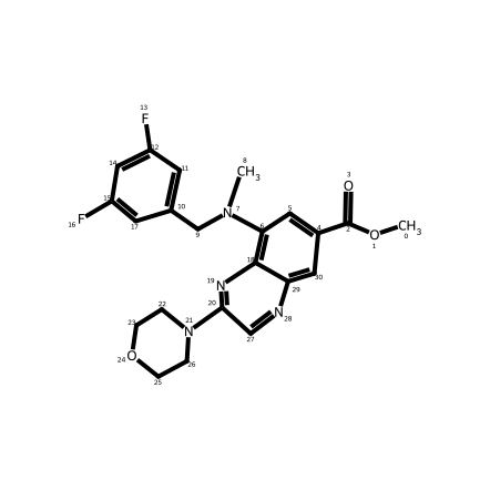 COC(=O)c1cc(N(C)Cc2cc(F)cc(F)c2)c2nc(N3CCOCC3)cnc2c1